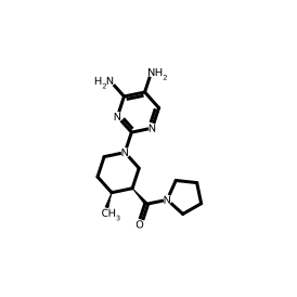 C[C@H]1CCN(c2ncc(N)c(N)n2)C[C@H]1C(=O)N1CCCC1